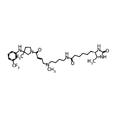 C[C@@H]1NC(=O)N[C@@H]1CCCCCC(=O)NCCCCN(C)C/C=C/C(=O)N1CCC(C)(Nc2cccc(C(F)(F)F)c2)C1